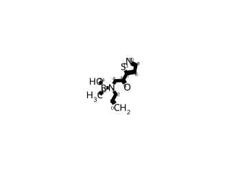 C=CCN(CC(=O)c1ccns1)B(C)O